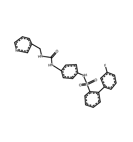 O=C(NCc1cccnc1)Nc1ccc(NS(=O)(=O)c2ccccc2-c2cccc(F)c2)cc1